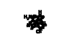 Cc1cc(Cl)cc(C2(C3CCC3)C(C#N)=C(N)Oc3[nH]nc(C)c32)c1